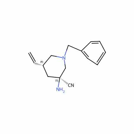 C=C[C@@H]1CN(Cc2ccccc2)C[C@](N)(C#N)C1